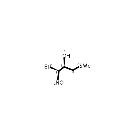 CC[C@H](N=O)[C@@H](O)CSC